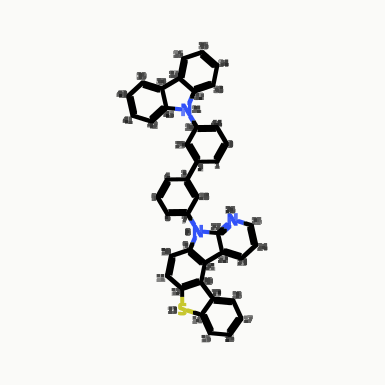 c1cc(-c2cccc(-n3c4ccc5sc6ccccc6c5c4c4cccnc43)c2)cc(-n2c3ccccc3c3ccccc32)c1